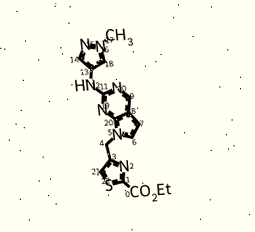 CCOC(=O)c1nc(Cn2ccc3cnc(Nc4cnn(C)c4)nc32)cs1